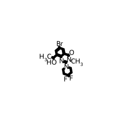 CC(O)c1cc(Br)cc2c(=O)n(C)c(N3CCC(F)(F)CC3)nc12